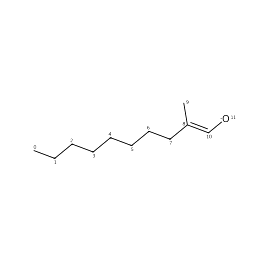 CCCCCCCC/C(C)=C/[O]